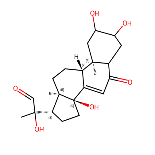 CC(O)(C=O)[C@H]1CC[C@@]2(O)C3=CC(=O)C4CC(O)C(O)C[C@]4(C)[C@H]3CC[C@]12C